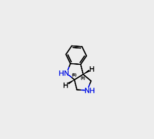 c1ccc2c(c1)N[C@H]1CNC[C@@H]21